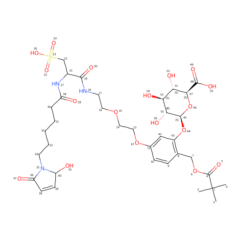 CC(C)(C)C(=O)OCc1ccc(OCCOCCNC(=O)C(CS(=O)(=O)O)NC(=O)CCCCCN2C(=O)C=CC2O)cc1O[C@@H]1O[C@H](C(=O)O)[C@@H](O)[C@H](O)[C@H]1O